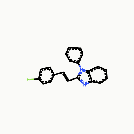 Fc1ccc(C=Cc2nc3ccccc3n2-c2ccccc2)cc1